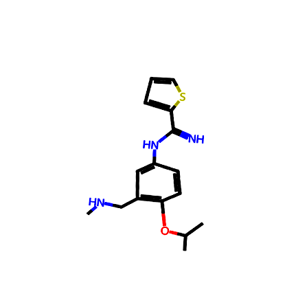 CNCc1cc(NC(=N)c2cccs2)ccc1OC(C)C